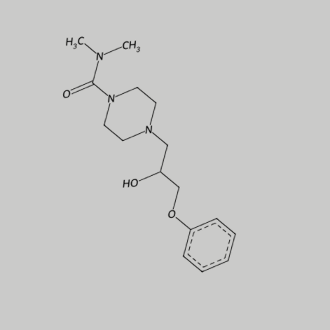 CN(C)C(=O)N1CCN(CC(O)COc2ccccc2)CC1